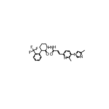 Cc1cn(-c2ccc(/C=C/C(=O)NN3CCCC(c4ccccc4C(F)(F)F)C3=O)nc2C)cn1